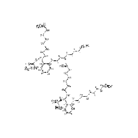 CCCCCCCCCCCCCCCCCCc1cccc(NC(=S)[S-])c1CCCCCCCCCCCCCCCCCC.CCCCCCCCCCCCCCCCCCc1cccc(NC(=S)[S-])c1CCCCCCCCCCCCCCCCCC.[Zn+2]